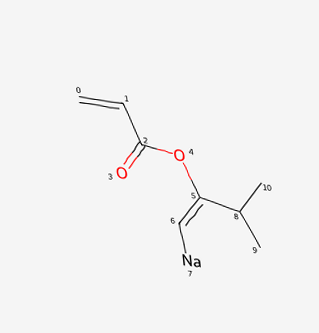 C=CC(=O)OC(=[CH][Na])C(C)C